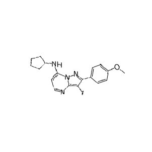 COc1ccc(-c2nn3c(NC4CCCC4)ccnc3c2I)cc1